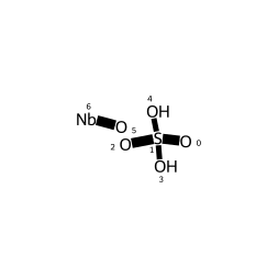 O=S(=O)(O)O.[O]=[Nb]